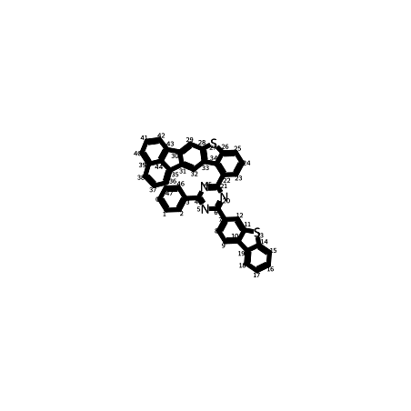 c1ccc(-c2nc(-c3ccc4c(c3)sc3ccccc34)nc(-c3cccc4sc5cc6c(cc5c34)-c3cccc4cccc-6c34)n2)cc1